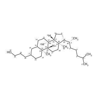 CC(C)CCC[C@@H](C)[C@H]1CC[C@H]2[C@@H]3CCC4CC(CCCO)CC[C@]4(C)[C@H]3CC[C@]12C